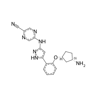 N#Cc1cnc(Nc2cc(-c3ccccc3O[C@@H]3CC[C@H](N)C3)[nH]n2)cn1